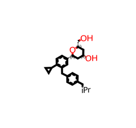 CC(C)Cc1ccc(Cc2cc([C@H]3C[C@@H](O)C[C@@H](CO)O3)ccc2C2CC2)cc1